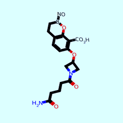 NC(=O)CCCC(=O)N1CC(Oc2ccc3c(c2C(=O)O)OB(N=O)CC3)C1